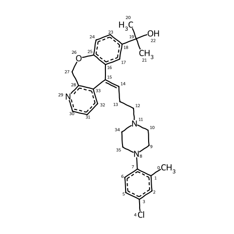 Cc1cc(Cl)ccc1N1CCN(CCC=C2c3cc(C(C)(C)O)ccc3OCc3ncccc32)CC1